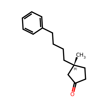 C[C@@]1(CCCCc2ccccc2)CCC(=O)C1